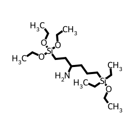 CCO[Si](CC)(CC)CCCC(N)CC[Si](OCC)(OCC)OCC